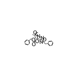 CC(=O)OC(N=C=O)(c1noc(Cc2ccccc2)n1)[C@@H](OCc1ccccc1)C(C)C